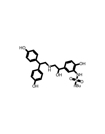 CCCCS(=O)(=O)Nc1cc(C(O)CNCC(c2ccc(O)cc2)c2ccc(O)cc2)ccc1O